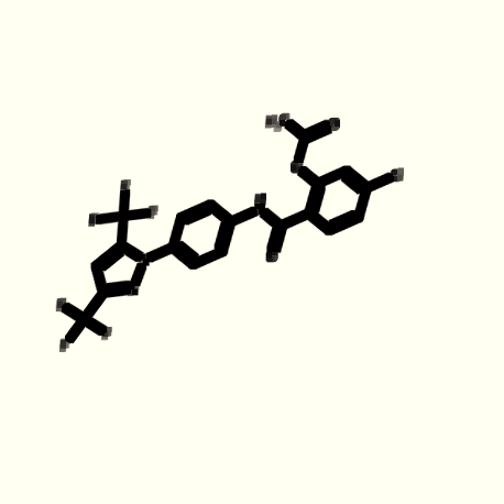 CC(=O)Oc1cc(Cl)ccc1C(=O)Nc1ccc(-n2nc(C(F)(F)F)cc2C(F)(F)F)cc1